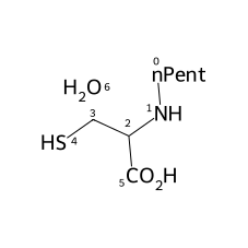 CCCCCNC(CS)C(=O)O.O